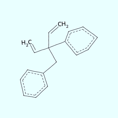 C=CC(C=C)(Cc1ccccc1)c1ccccc1